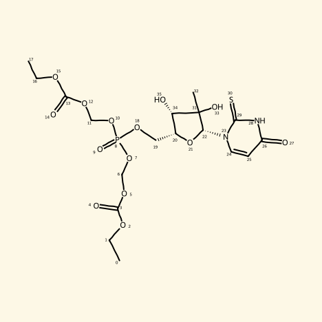 CCOC(=O)OCOP(=O)(OCOC(=O)OCC)OC[C@H]1O[C@@H](n2ccc(=O)[nH]c2=S)C(C)(O)[C@H]1O